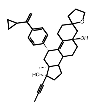 C=C(c1ccc([C@H]2C[C@@]3(C)C(CC[C@@]3(O)C#CC)C3CC[C@@]4(O)CC5(CCCO5)CCC4=C32)cc1)C1CC1